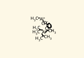 CC(C)[CH2][Al]([CH2]C(C)C)[CH2]C(C)C.C[CH2][Al+][CH2]C.[O-]c1ccccc1